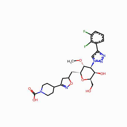 CO[C@@H]1[C@@H](n2cc(-c3cccc(F)c3F)nn2)[C@@H](O)[C@@H](CO)O[C@@H]1CC1CC(C2CCN(C(=O)O)CC2)=NO1